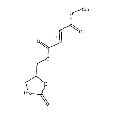 CC(C)(C)OC(=O)/C=C/C(=O)OCC1CNC(=O)O1